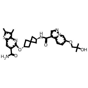 Cc1sc2cc(C(N)=O)c(O[C@H]3CC4(C[C@H](NC(=O)c5cnn6cc(OCC(C)(C)O)ccc56)C4)C3)nc2c1C